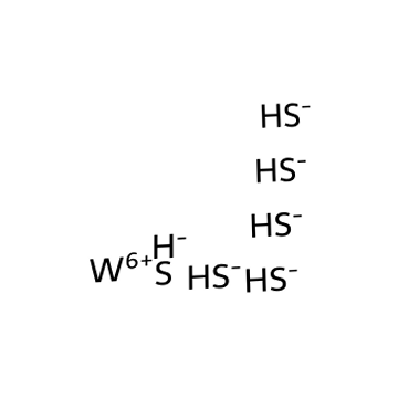 [SH-].[SH-].[SH-].[SH-].[SH-].[SH-].[W+6]